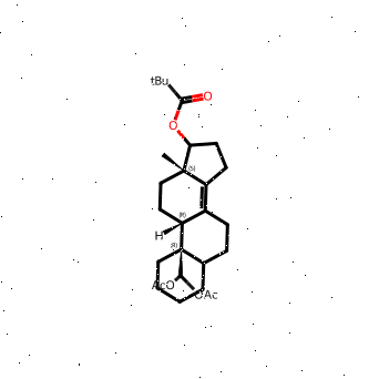 CC(=O)OC(OC(C)=O)[C@]12CCCCC1CCC1=C3CCC(OC(=O)C(C)(C)C)[C@@]3(C)CC[C@H]12